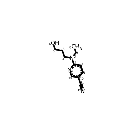 CCN(CCCO)c1ccc(C#N)cn1